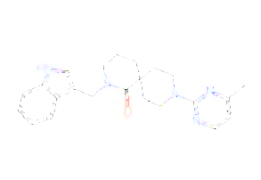 Cc1ccnc(N2CCC3(CCCN(Cc4c[nH]c5ccccc45)C3=O)CC2)n1